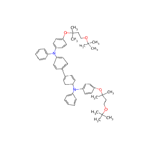 CC(C)(C)OCCC(C)(C)Oc1ccc(N(c2ccccc2)c2ccc(C3=CCC(N(c4ccccc4)c4ccc(OC(C)(C)CCOC(C)(C)C)cc4)C=C3)cc2)cc1